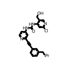 CC(C)Cc1cccc(C#Cc2cc(NC(=O)Nc3cc(Cl)ncc3CO)ccn2)c1